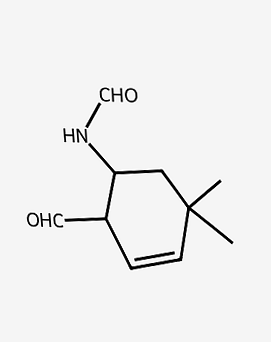 CC1(C)C=CC(C=O)C(NC=O)C1